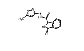 Cc1cc(CNC(=O)C2NC(=O)c3ccccc32)no1